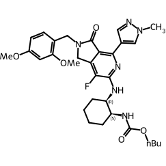 CCCCOC(=O)N[C@H]1CCCC[C@H]1Nc1nc(-c2cnn(C)c2)c2c(c1F)CN(Cc1ccc(OC)cc1OC)C2=O